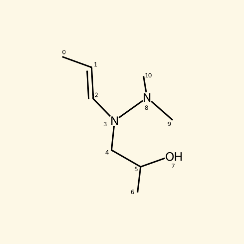 CC=CN(CC(C)O)N(C)C